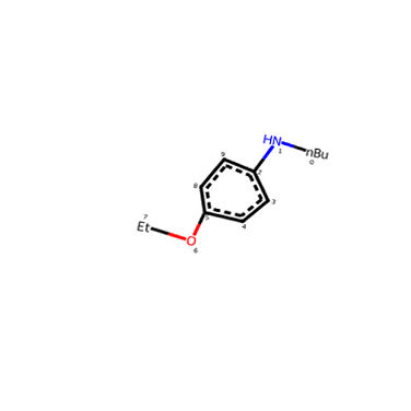 CCCCNc1ccc(OCC)cc1